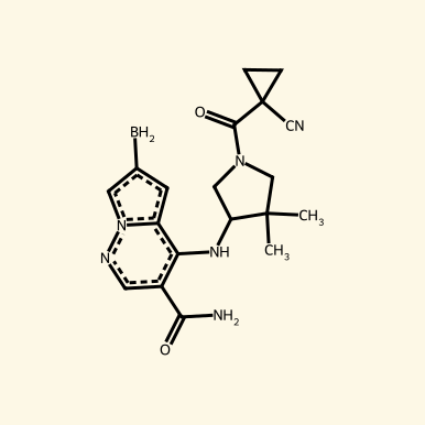 Bc1cc2c(NC3CN(C(=O)C4(C#N)CC4)CC3(C)C)c(C(N)=O)cnn2c1